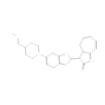 CCOCC1CCN(c2ccc3[nH]c(-c4c5cccccc-5[nH]c4=O)nc3c2)CC1